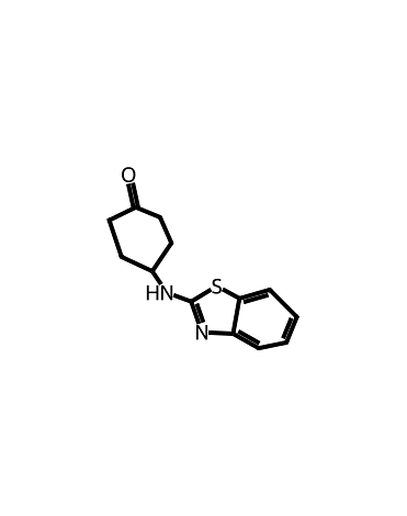 O=C1CCC(Nc2nc3ccccc3s2)CC1